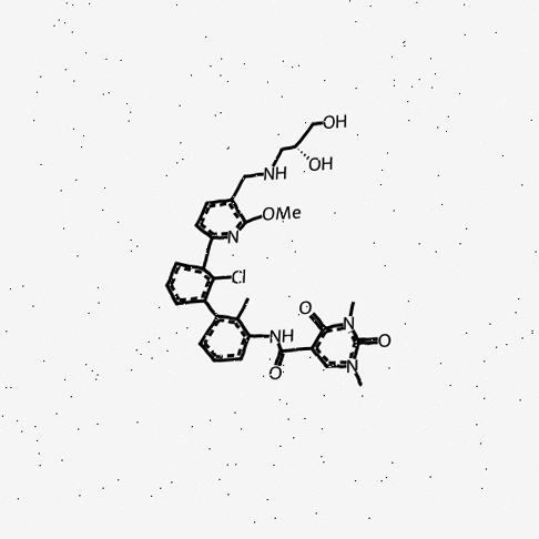 COc1nc(-c2cccc(-c3cccc(NC(=O)c4cn(C)c(=O)n(C)c4=O)c3C)c2Cl)ccc1CNC[C@@H](O)CO